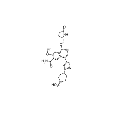 CC(C)Oc1cc2c(OC[C@@H]3CCC(=O)N3)ncc(-c3cnn(C4CCN(C(=O)O)CC4)c3)c2cc1C(N)=O